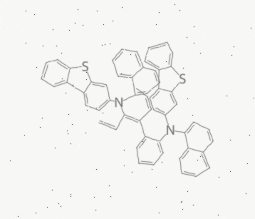 C=C/C(=C(/C=C\C)c1ccccc1N(c1ccc2c(c1)sc1ccccc12)c1cccc2ccccc12)N(c1ccc2c(c1)sc1ccccc12)c1cccc2ccccc12